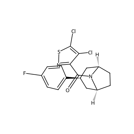 O=C(c1nsc(Cl)c1Cl)N1[C@@H]2CC[C@H]1C[C@@H](c1ccc(F)cc1)C2